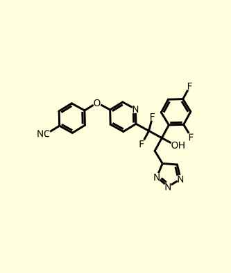 N#Cc1ccc(Oc2ccc(C(F)(F)C(O)(CC3C=NN=N3)c3ccc(F)cc3F)nc2)cc1